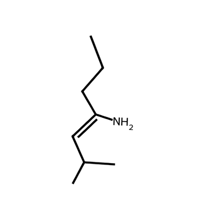 CCCC(N)=CC(C)C